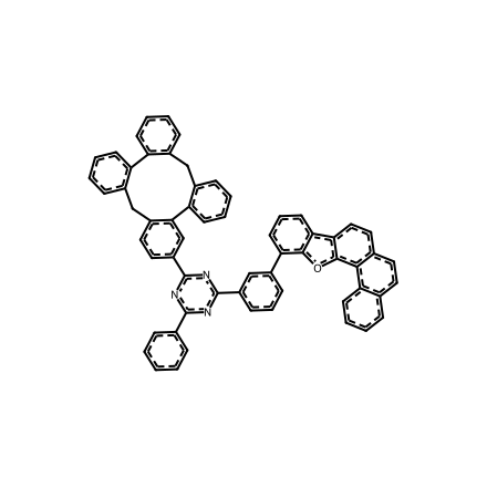 c1ccc(-c2nc(-c3cccc(-c4cccc5c4oc4c5ccc5ccc6ccccc6c54)c3)nc(-c3ccc4c(c3)-c3ccccc3Cc3ccccc3-c3ccccc3C4)n2)cc1